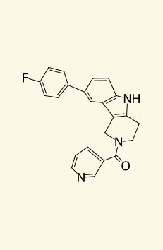 O=C(c1cccnc1)N1CCc2[nH]c3ccc(-c4ccc(F)cc4)cc3c2C1